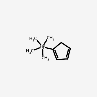 [CH3][Hf]([CH3])([CH3])([CH3])[C]1=CC=CC1